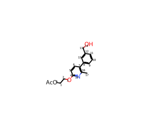 CC(=O)OCCOc1ccc(-c2cccc(CO)c2)c(C)n1